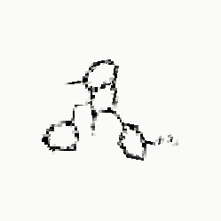 Cc1cccc2nc(-c3cccc([N+](=O)[O-])c3)c(=O)n(Cc3ccccc3)c12